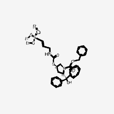 CCO[Si](CCCNC(=O)O[C@@H]1C[C@@H](C(O)(c2ccccc2)c2ccccc2)N(C(=O)OCc2ccccc2)C1)(OCC)OCC